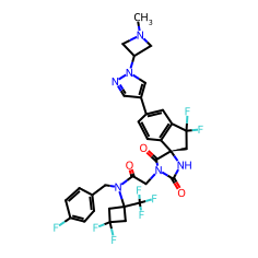 CN1CC(n2cc(-c3ccc4c(c3)C(F)(F)C[C@]43NC(=O)N(CC(=O)N(Cc4ccc(F)cc4)C4(C(F)(F)F)CC(F)(F)C4)C3=O)cn2)C1